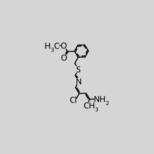 COC(=O)c1ccccc1CS/C=N/C=C(Cl)\C=C(/C)N